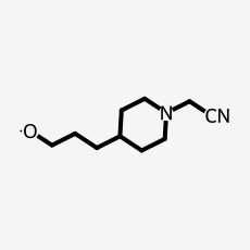 N#CCN1CCC(CCC[O])CC1